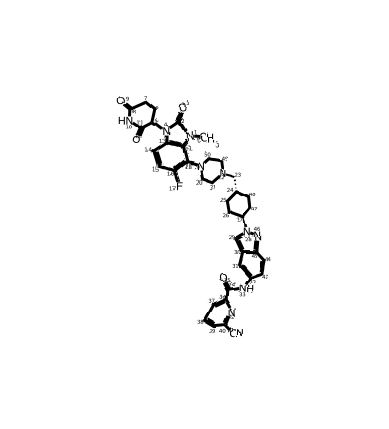 Cn1c(=O)n(C2CCC(=O)NC2=O)c2ccc(F)c(N3CCN(C[C@H]4CC[C@H](n5cc6cc(NC(=O)c7cccc(C#N)n7)ccc6n5)CC4)CC3)c21